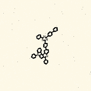 c1ccc(-c2ccc(-c3nc(-c4ccccc4)nc(-c4ccc(-c5ccc6nc(-c7ccccc7)c7ccc8c(c9ccccc9n8-c8ccccc8)c7c6c5)cc4)n3)cc2)cc1